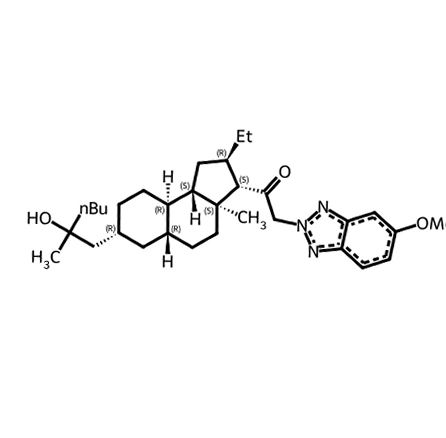 CCCCC(C)(O)C[C@@H]1CC[C@@H]2[C@H](CC[C@@]3(C)[C@H]2C[C@@H](CC)[C@@H]3C(=O)Cn2nc3ccc(OC)cc3n2)C1